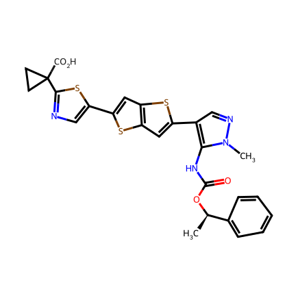 C[C@@H](OC(=O)Nc1c(-c2cc3sc(-c4cnc(C5(C(=O)O)CC5)s4)cc3s2)cnn1C)c1ccccc1